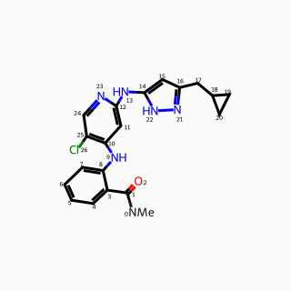 CNC(=O)c1ccccc1Nc1cc(Nc2cc(CC3CC3)n[nH]2)ncc1Cl